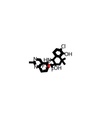 Cc1ncc2c(NC3c4ccc(Cl)c(O)c4C(C)(C)CC3(O)C(F)(F)C(F)(F)F)cccc2n1